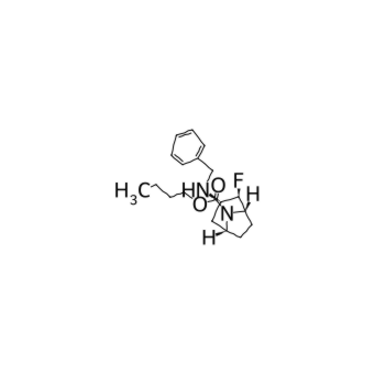 CCCCOC(=O)N1[C@@H]2CC[C@H]1[C@H](F)[C@H](NCc1ccccc1)C2